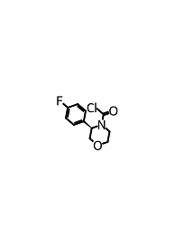 O=C(Cl)N1CCOC[C@H]1c1ccc(F)cc1